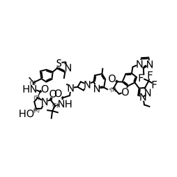 CCn1cc(-c2cc(Cn3ccnc3C)cc3c2OC[C@H](Cc2cc(C)cc(N4CC(N(C)CC(=O)N[C@H](C(=O)N5C[C@H](O)C[C@H]5C(=O)N[C@@H](C)c5ccc(-c6scnc6C)cc5)C(C)(C)C)C4)n2)C3=O)c(C(F)(F)F)n1